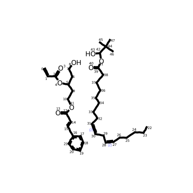 C=CC(=O)OC(CCO)CCOC(=O)C=Cc1ccccc1.CCCCC/C=C\C/C=C\CCCCCCCC(=O)OC(O)C(C)(C)C